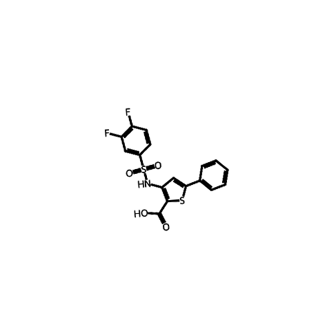 O=C(O)c1sc(-c2ccccc2)cc1NS(=O)(=O)c1ccc(F)c(F)c1